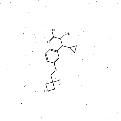 CC(C(=O)O)C(c1cccc(OCC2(F)CNC2)c1)C1CC1